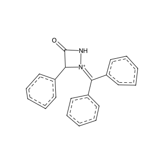 O=C1N[N+](=C(c2ccccc2)c2ccccc2)C1c1ccccc1